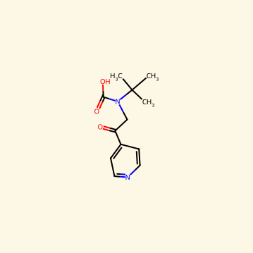 CC(C)(C)N(CC(=O)c1ccncc1)C(=O)O